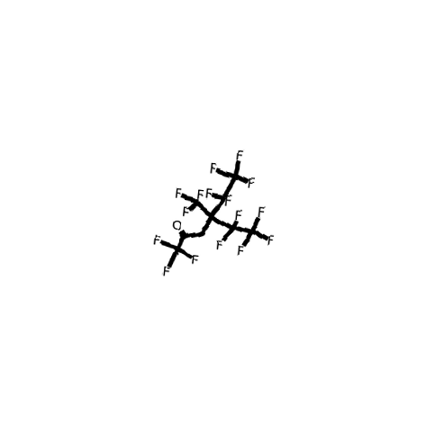 O=C(CC(C(F)(F)F)(C(F)(F)C(F)(F)F)C(F)(F)C(F)(F)F)C(F)(F)F